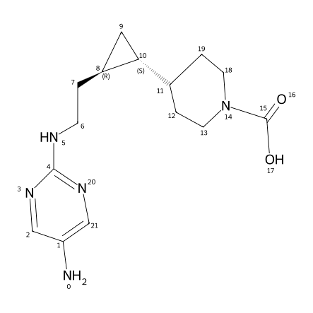 Nc1cnc(NCC[C@H]2C[C@@H]2C2CCN(C(=O)O)CC2)nc1